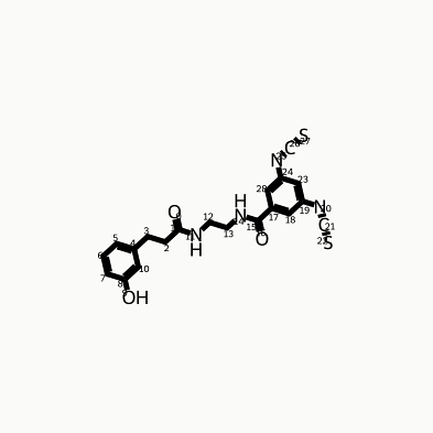 O=C(CCc1cccc(O)c1)NCCNC(=O)c1cc(N=C=S)cc(N=C=S)c1